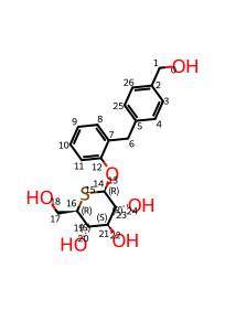 OCc1ccc(Cc2ccccc2O[C@@H]2S[C@H](CO)[C@@H](O)[C@H](O)[C@H]2O)cc1